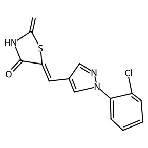 C=c1[nH]c(=O)/c(=C/c2cnn(-c3ccccc3Cl)c2)s1